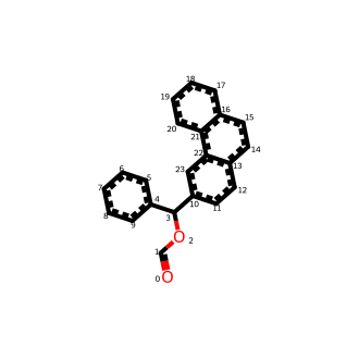 O=COC(c1ccccc1)c1ccc2ccc3ccccc3c2c1